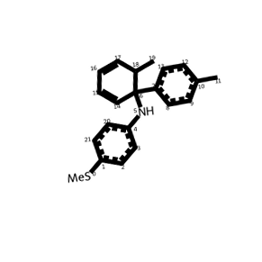 CSc1ccc(NC2(c3ccc(C)cc3)C=CC=CC2C)cc1